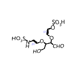 O=CC(O/C=C\OS(=O)(=O)O)C(CO)O/C=C/NS(=O)(=O)O